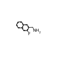 NCc1cc2ccccc2cc1F